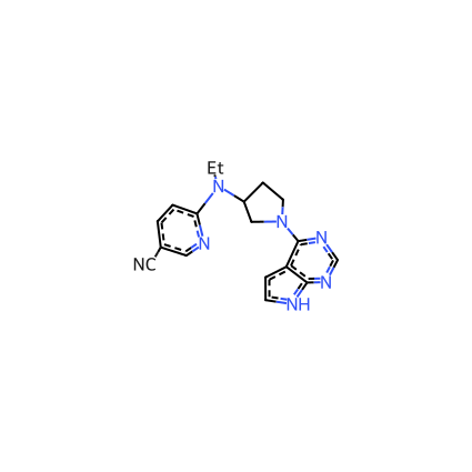 CCN(c1ccc(C#N)cn1)C1CCN(c2ncnc3[nH]ccc23)C1